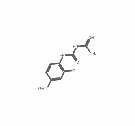 CCCCCc1ccc(NC(=O)NC(=N)N)c(Cl)c1